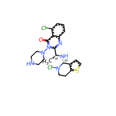 C[C@H](N[C@@H]1c2ccsc2CCN1Cl)c1nc2cccc(Cl)c2c(=O)n1N1CCNCC1